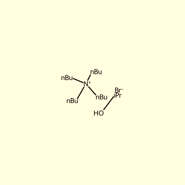 CC(C)O.CCCC[N+](CCCC)(CCCC)CCCC.[Br-]